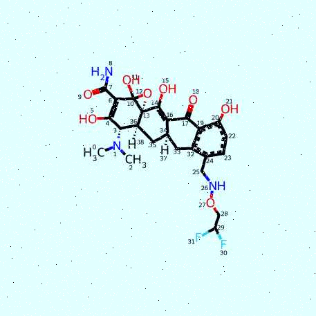 CN(C)[C@@H]1C(O)=C(C(N)=O)C2(O)O[C@@]23C(O)=C2C(=O)c4c(O)ccc(CNOCC(F)F)c4C[C@H]2C[C@@H]13